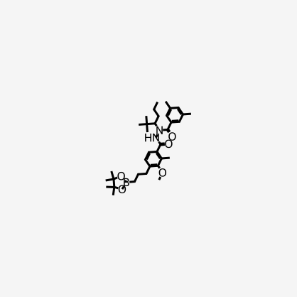 CCCC(N(NC(=O)c1ccc(CCCB2OC(C)(C)C(C)(C)O2)c(OC)c1C)C(=O)c1cc(C)cc(C)c1)C(C)(C)C